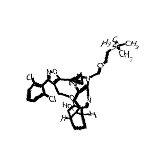 C[Si](C)(C)CCOCn1nnc2cc([C@]3(O)[C@@H]4CC[C@H]3C[C@H](OCc3c(-c5c(Cl)cccc5Cl)noc3C3CC3)C4)cnc21